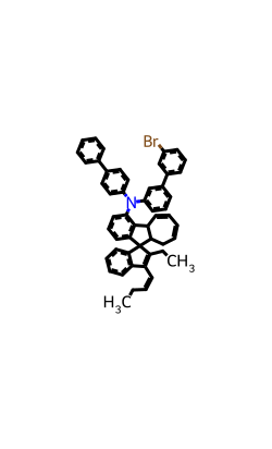 CC/C=C\C1=C(CC)C2(c3ccccc31)c1cccc(N(c3ccc(-c4ccccc4)cc3)c3cccc(-c4cccc(Br)c4)c3)c1C1C=CC=CCC12